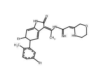 CCc1ccc(C)c(C2C=C3C(=CC2CC)NC(=O)/C3=C(/C)NC(=N)/C=C2/COCCN2)c1